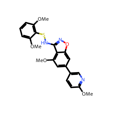 COc1ccc(-c2cc(OC)c3c(NSc4c(OC)cccc4OC)noc3c2)cn1